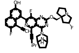 C#Cc1c(F)ccc2cc(O)cc(-c3nc(C#CC(C)C)c4c(N5CC6CCC(C5)N6)nc(OC[C@@]56CCCN5C[C@H](F)C6)nc4c3F)c12